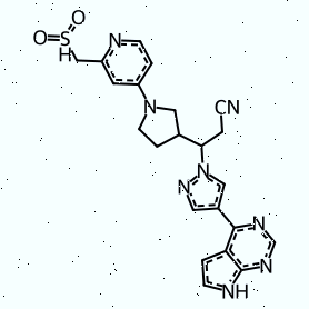 N#CCC(C1CCN(c2ccnc(C[SH](=O)=O)c2)C1)n1cc(-c2ncnc3[nH]ccc23)cn1